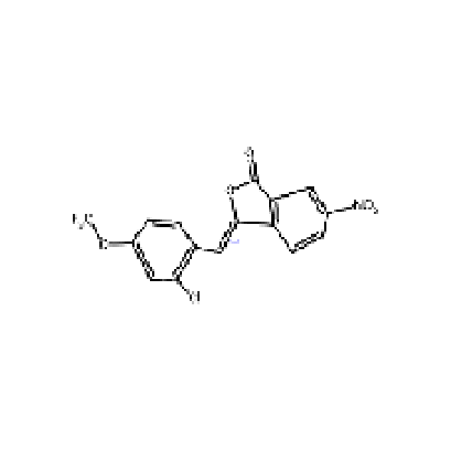 O=C1O/C(=C\c2ccc(OC(F)(F)F)cc2Cl)c2ccc([N+](=O)[O-])cc21